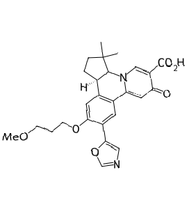 COCCCOc1cc2c(cc1-c1cnco1)-c1cc(=O)c(C(=O)O)cn1C1[C@@H]2CCC1(C)C